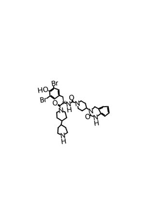 O=C(N[C@H](Cc1cc(Br)c(O)c(Br)c1)C(=O)N1CCC(C2CCNCC2)CC1)N1CCC(N2Cc3ccccc3NC2=O)CC1